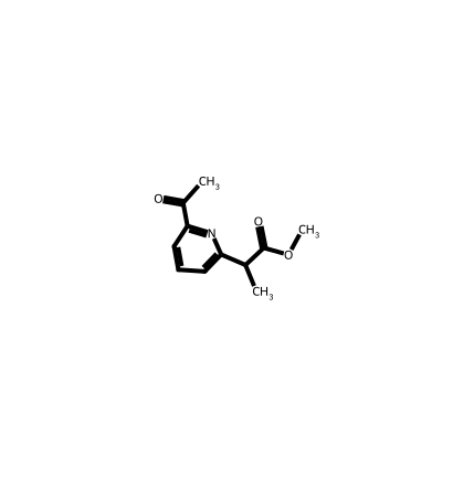 COC(=O)C(C)c1cccc(C(C)=O)n1